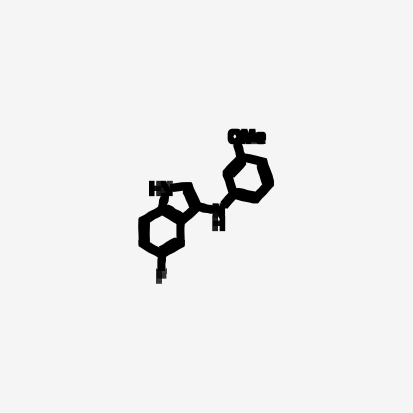 COc1cccc(Nc2c[nH]c3ccc(F)cc23)c1